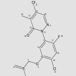 C=C(C)COc1cc(-n2ncc(C(F)(F)F)c(C)c2=O)c(F)cc1Cl